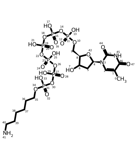 Cc1cn([C@H]2CC(O)[C@@H](COP(=O)(O)OP(=O)(O)OP(=O)(O)OP(=O)(O)OP(=O)(O)OP(=O)(O)OCCCCCCN)O2)c(=O)[nH]c1=O